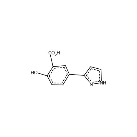 O=C(O)c1cc(-c2cc[nH]n2)ccc1O